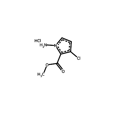 COC(=O)c1c(Cl)ccn1N.Cl